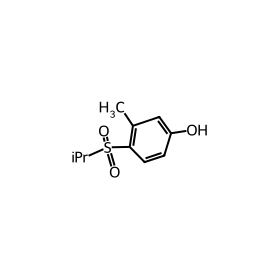 Cc1cc(O)ccc1S(=O)(=O)C(C)C